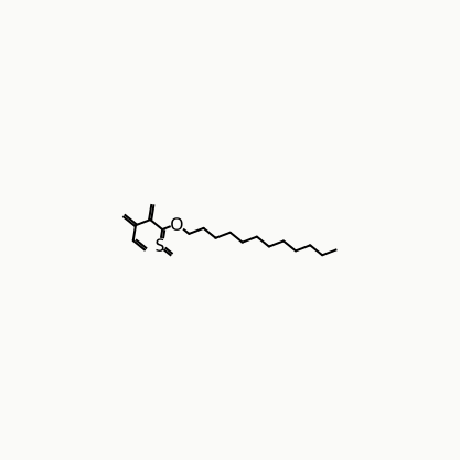 C=CC(=C)C(=C)C(OCCCCCCCCCCCC)=S=C